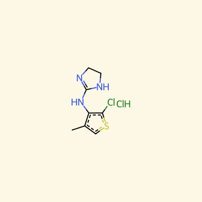 Cc1csc(Cl)c1NC1=NCCN1.Cl